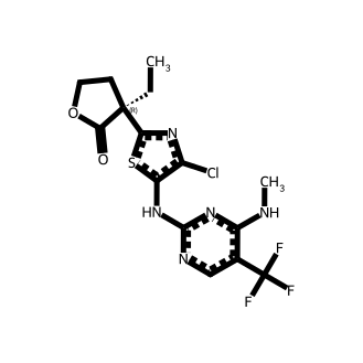 CC[C@@]1(c2nc(Cl)c(Nc3ncc(C(F)(F)F)c(NC)n3)s2)CCOC1=O